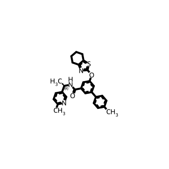 Cc1ccc(-c2cc(Oc3nc4c(s3)CCCC4)cc(C(=O)N[C@H](C)c3ccc(C)nc3)c2)cc1